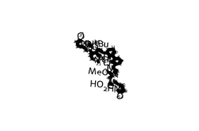 COc1nc(-c2cccc(-c3cccc(-c4ccc5c(n4)N(C)CCC5N(CC4CCC(=O)N4)C(=O)OC(C)(C)C)c3Cl)c2Cl)cnc1CN(CC1CCC(=O)N1)C(=O)O